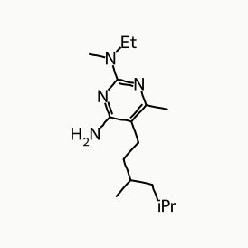 CCN(C)c1nc(C)c(CCC(C)CC(C)C)c(N)n1